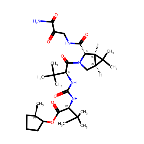 C[C@@H]1CCCC1OC(=O)[C@@H](NC(=O)N[C@H](C(=O)N1C[C@H]2[C@@H]([C@H]1C(=O)NCC(=O)C(N)=O)C2(C)C)C(C)(C)C)C(C)(C)C